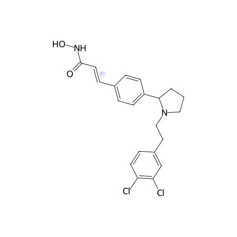 O=C(/C=C/c1ccc(C2CCCN2CCc2ccc(Cl)c(Cl)c2)cc1)NO